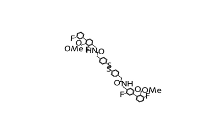 COC(=O)c1c(F)cccc1-c1ccc(CNC(=O)Cc2ccc(SSc3ccc(CC(=O)NCc4ccc(-c5cccc(F)c5)c(C(=O)OC)c4F)cc3)cc2)c(F)c1